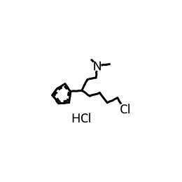 CN(C)CCC(CCCCCl)c1ccccc1.Cl